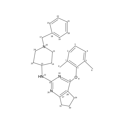 Cc1cccc(C)c1Oc1nc(NC2CCN(Cc3ccccc3)CC2)nc2c1CCC2